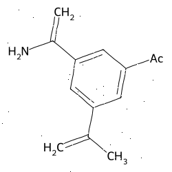 C=C(C)c1cc(C(=C)N)cc(C(C)=O)c1